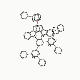 c1ccc(-c2ccc3c(c2)c2ccccc2n3-c2cc(-c3cc(-c4ccccc4)nc(-c4ccccc4)n3)cc(-c3cc(-c4ccccc4)nc(-c4ccccc4)n3)c2-n2c3ccc(-c4ccccc4)cc3c3cc(-c4cccc(-c5ccccc5)n4)ccc32)cc1